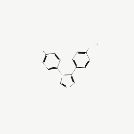 CSc1ccc(-c2cncn2-c2ccc(C)cc2)cc1